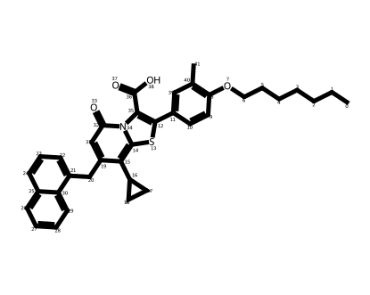 CCCCCCCOc1ccc(-c2sc3c(C4CC4)c(Cc4cccc5ccccc45)cc(=O)n3c2C(=O)O)cc1C